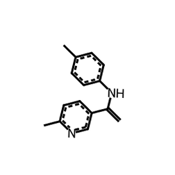 C=C(Nc1ccc(C)cc1)c1ccc(C)nc1